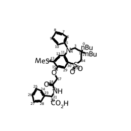 CCCCC1(CCCC)CN(c2ccccc2)c2cc(SC)c(OCC(=O)N[C@H](C(=O)O)c3ccccc3)cc2S(=O)(=O)C1